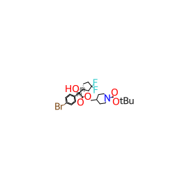 CC(C)(C)OC(=O)N1CCC(COC(=O)[C@](O)(c2ccc(Br)cc2)[C@@H]2CCC(F)(F)C2)CC1